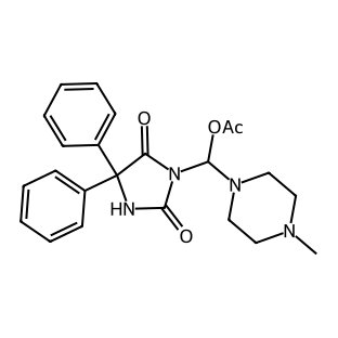 CC(=O)OC(N1CCN(C)CC1)N1C(=O)NC(c2ccccc2)(c2ccccc2)C1=O